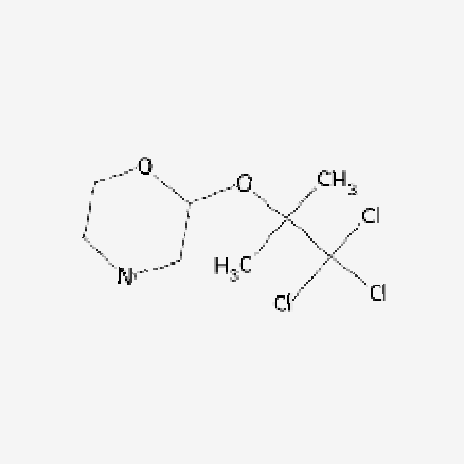 CC(C)(OC1C[N]CCO1)C(Cl)(Cl)Cl